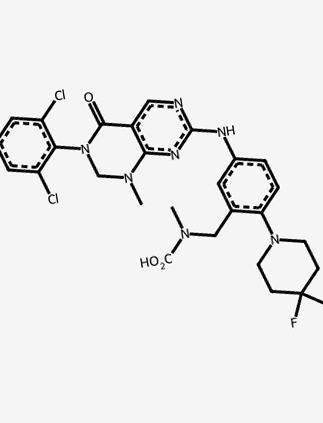 CN(Cc1cc(Nc2ncc3c(n2)N(C)CN(c2c(Cl)cccc2Cl)C3=O)ccc1N1CCC(F)(F)CC1)C(=O)O